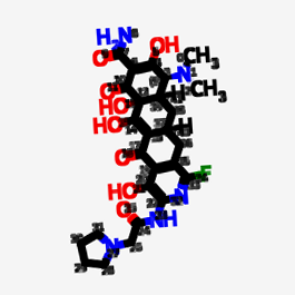 CN(C)[C@@H]1C(O)=C(C(N)=O)C(=O)[C@@]2(O)C(O)=C3C(=O)c4c(O)c(NC(=O)CN5CCCC5)nc(F)c4C[C@H]3C[C@@H]12